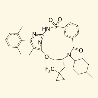 Cc1cccc(C)c1-c1nc2nc(c1C)OC[C@@H](CC1(C(F)(F)F)CC1)N(C1CCC(C)CC1)C(=O)c1cccc(c1)S(=O)(=O)N2